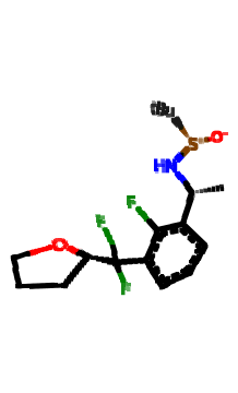 C[C@@H](N[S@+]([O-])C(C)(C)C)c1cccc(C(F)(F)[C@H]2CCCO2)c1F